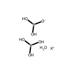 O.OB(O)O.[K+].[O-]B(O)O